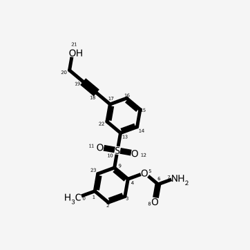 Cc1ccc(OC(N)=O)c(S(=O)(=O)c2cccc(C#CCO)c2)c1